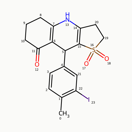 Cc1ccc(C2C3=C(CCCC3=O)NC3=C2S(=O)(=O)CC3)cc1I